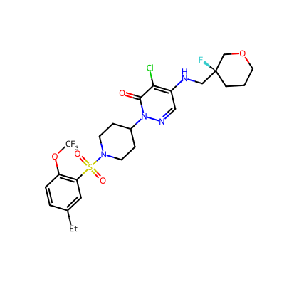 CCc1ccc(OC(F)(F)F)c(S(=O)(=O)N2CCC(n3ncc(NC[C@@]4(F)CCCOC4)c(Cl)c3=O)CC2)c1